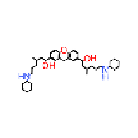 CC(CCCNC1CCCCC1)CC(O)c1ccc2c(c1)Cc1cc(C(O)CC(C)CCCNC3CCCCC3)ccc1O2